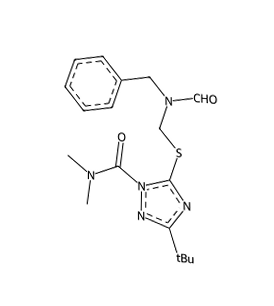 CN(C)C(=O)n1nc(C(C)(C)C)nc1SCN(C=O)Cc1ccccc1